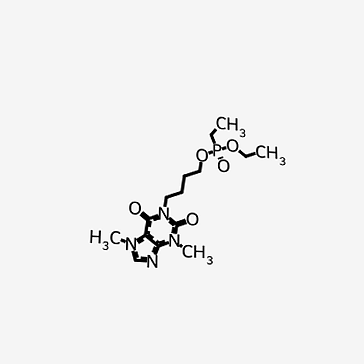 CCOP(=O)(CC)OCCCCn1c(=O)c2c(ncn2C)n(C)c1=O